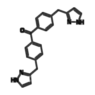 O=C(c1ccc(Cc2cc[nH]n2)cc1)c1ccc(Cc2cc[nH]n2)cc1